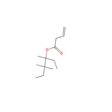 C=CCC(=O)OC(C)(CC)C(C)(C)CC